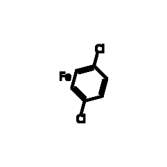 Clc1ccc(Cl)cc1.[Fe]